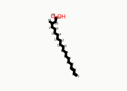 C=CC=CCCCCCCCCCCCCCCC(C)CC(=O)O